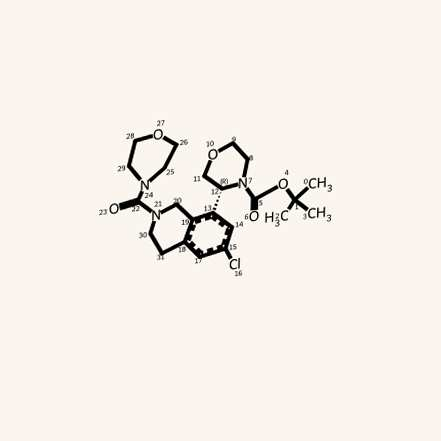 CC(C)(C)OC(=O)N1CCOC[C@H]1c1cc(Cl)cc2c1CN(C(=O)N1CCOCC1)CC2